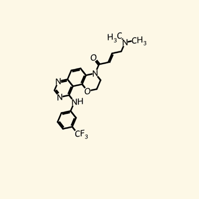 CN(C)C/C=C/C(=O)N1CCOc2c1ccc1ncnc(Nc3cccc(C(F)(F)F)c3)c21